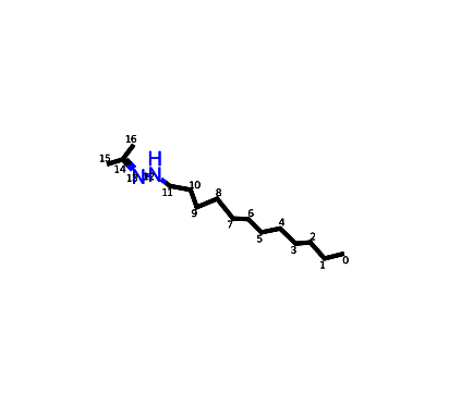 CCCCCCCCCCCCNN=C(C)C